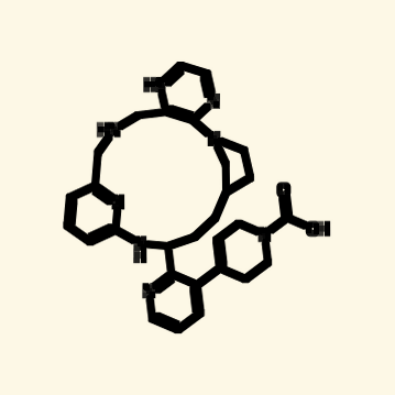 O=C(O)N1CC=C(c2cccnc2C2CCC3CCN(C3)C3=C(CNCc4cccc(n4)N2)[SH]=CC=N3)CC1